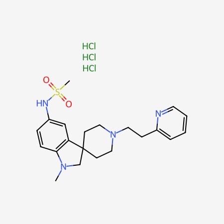 CN1CC2(CCN(CCc3ccccn3)CC2)c2cc(NS(C)(=O)=O)ccc21.Cl.Cl.Cl